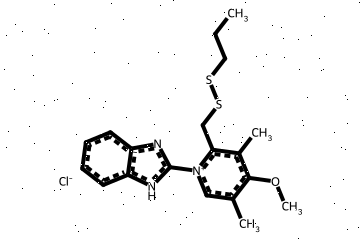 CCCSSCc1c(C)c(OC)c(C)c[n+]1-c1nc2ccccc2[nH]1.[Cl-]